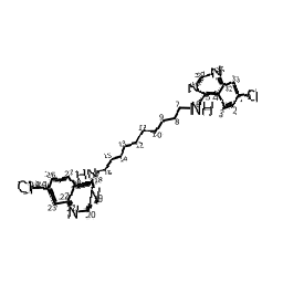 Clc1ccc2c(NCCCCCCCCCCNc3ncnc4cc(Cl)ccc34)ncnc2c1